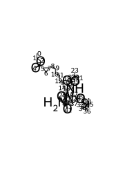 CCOC(=O)[C@H]1C[C@H]1/C=C\CCCCC[C@H](NC(=O)OC(C)(C)C)C(=O)N1C[C@H](O[Si](C)(C)C(C)(C)C)C[C@H]1C(N)=O